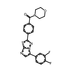 O=C(c1ccc(-c2nn3c(-c4ccc(F)c(F)c4)cnc3s2)cc1)N1CCOCC1